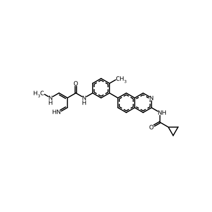 CN/C=C(\C=N)C(=O)Nc1ccc(C)c(-c2ccc3cc(NC(=O)C4CC4)ncc3c2)c1